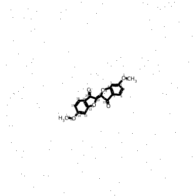 COc1ccc2c(c1)O/C(=C1/Oc3cc(OC)ccc3C1=O)C2=O